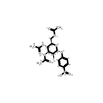 CC(=O)OC[C@H]1O[C@H](Oc2ccc([N+](=O)[O-])cc2)[C@@H](F)[C@@H](OC(C)=O)[C@@H]1OC(C)=O